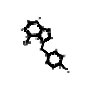 Fc1ccc(Cn2cnc3ncnc(Cl)c32)cc1